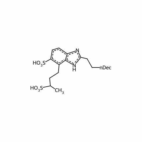 CCCCCCCCCCCCc1nc2ccc(S(=O)(=O)O)c(CCC(C)S(=O)(=O)O)c2[nH]1